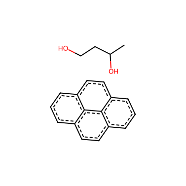 CC(O)CCO.c1cc2ccc3cccc4ccc(c1)c2c34